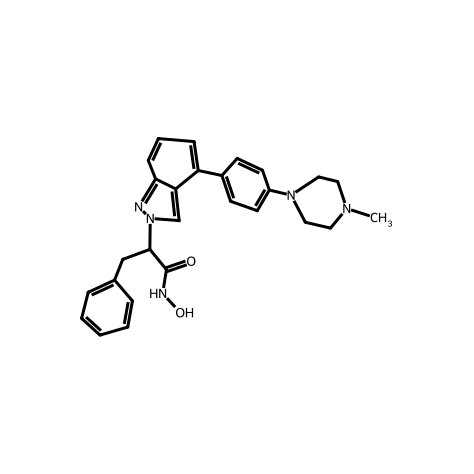 CN1CCN(c2ccc(-c3cccc4nn(C(Cc5ccccc5)C(=O)NO)cc34)cc2)CC1